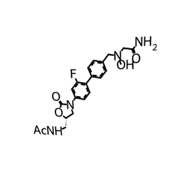 CC(=O)NC[C@H]1CN(c2ccc(-c3ccc(CN(O)CC(N)=O)cc3)c(F)c2)C(=O)O1